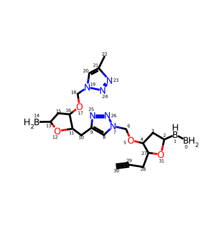 BBC1CC(OCn2cc(CC3OC(B)CC3OCn3cc(C)nn3)nn2)C(CC#C)O1